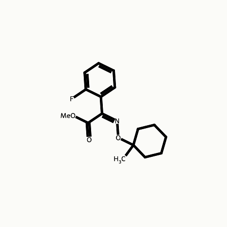 COC(=O)/C(=N\OC1(C)CCCCC1)c1ccccc1F